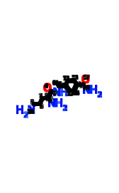 CC(NC(=O)[C@H](N)CCCN)c1ccc(C(N)=O)cc1